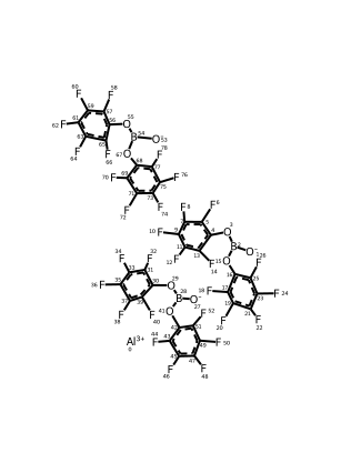 [Al+3].[O-]B(Oc1c(F)c(F)c(F)c(F)c1F)Oc1c(F)c(F)c(F)c(F)c1F.[O-]B(Oc1c(F)c(F)c(F)c(F)c1F)Oc1c(F)c(F)c(F)c(F)c1F.[O-]B(Oc1c(F)c(F)c(F)c(F)c1F)Oc1c(F)c(F)c(F)c(F)c1F